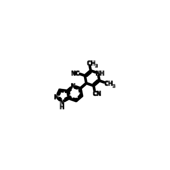 CC1=C(C#N)C(c2ccc3[nH]ncc3n2)C(C#N)=C(C)N1